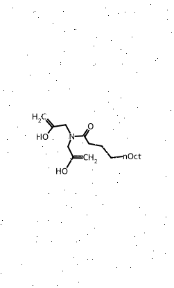 C=C(O)CN(CC(=C)O)C(=O)CCCCCCCCCCC